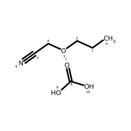 CCCOCC#N.O=C(O)O